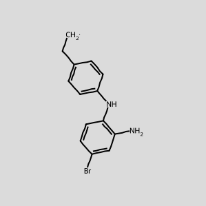 [CH2]Cc1ccc(Nc2ccc(Br)cc2N)cc1